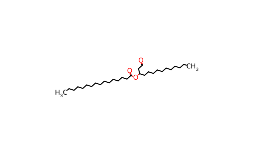 CCCCCCCCCCCCCCCC(=O)OC(CC=O)CCCCCCCCCCC